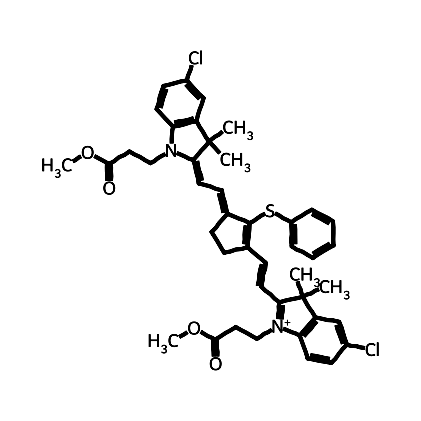 COC(=O)CCN1/C(=C/C=C2\CCC(/C=C/C3=[N+](CCC(=O)OC)c4ccc(Cl)cc4C3(C)C)=C2Sc2ccccc2)C(C)(C)c2cc(Cl)ccc21